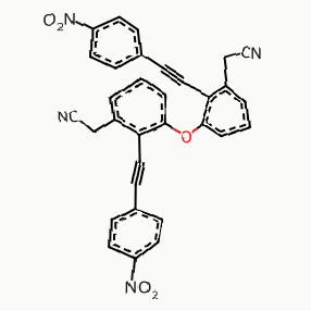 N#CCc1cccc(Oc2cccc(CC#N)c2C#Cc2ccc([N+](=O)[O-])cc2)c1C#Cc1ccc([N+](=O)[O-])cc1